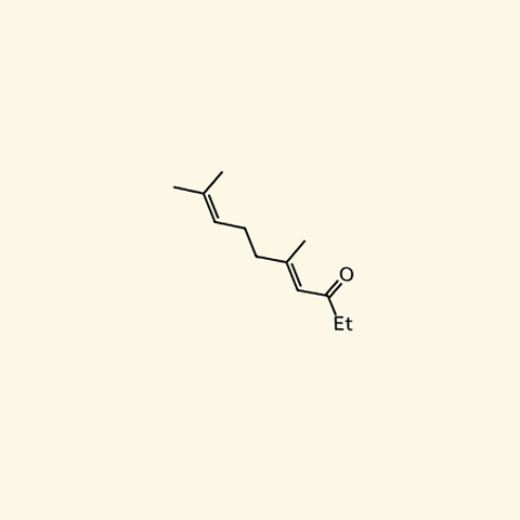 CCC(=O)/C=C(\C)CCC=C(C)C